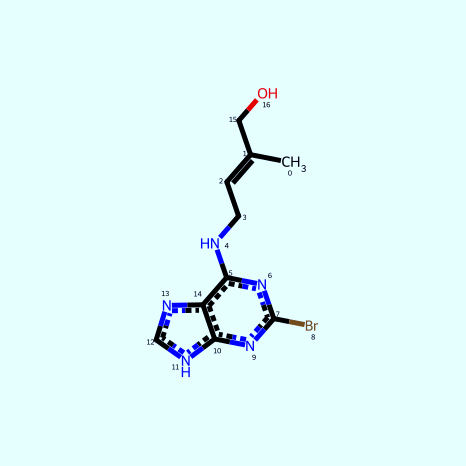 C/C(=C\CNc1nc(Br)nc2[nH]cnc12)CO